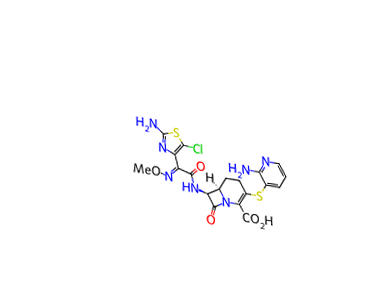 CON=C(C(=O)N[C@@H]1C(=O)N2C(C(=O)O)=C(Sc3cccnc3N)CC[C@H]12)c1nc(N)sc1Cl